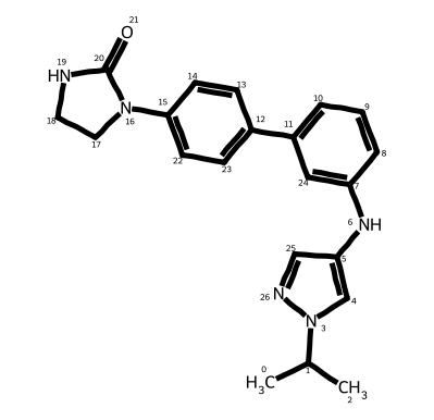 CC(C)n1cc(Nc2cccc(-c3ccc(N4CCNC4=O)cc3)c2)cn1